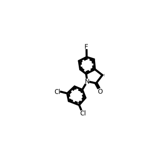 O=C1[C]c2cc(F)ccc2N1c1cc(Cl)cc(Cl)c1